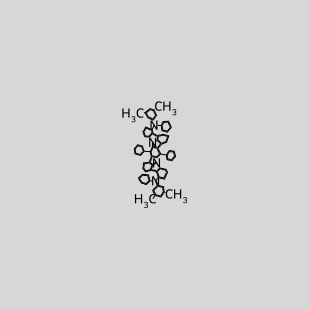 Cc1cc(C)cc(N(c2ccccc2)c2cccc3c2c2cccc4c5c(-c6ccccc6)c6c(c(-c7ccccc7)c5n3c24)c2cccc3c4c(N(c5ccccc5)c5cc(C)cc(C)c5)cccc4n6c32)c1